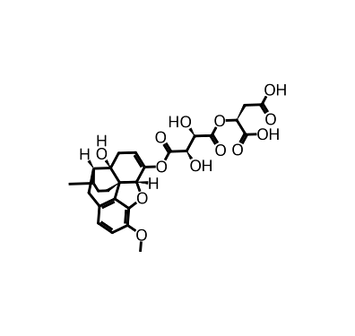 COc1ccc2c3c1O[C@H]1C(OC(=O)[C@H](O)[C@@H](O)C(=O)O[C@@H](CC(=O)O)C(=O)O)=CC[C@@]4(O)[C@@H](C2)C(C)CC[C@]314